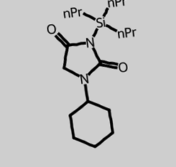 CCC[Si](CCC)(CCC)N1C(=O)CN(C2CCCCC2)C1=O